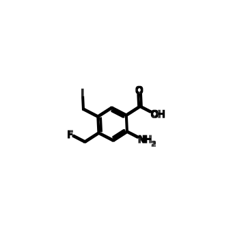 Nc1cc(CF)c(CI)cc1C(=O)O